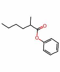 CCCCC(C)C(=O)Oc1ccccc1